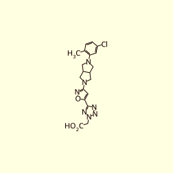 Cc1ccc(Cl)cc1N1CC2CN(c3cc(-c4nnn(CC(=O)O)n4)on3)CC2C1